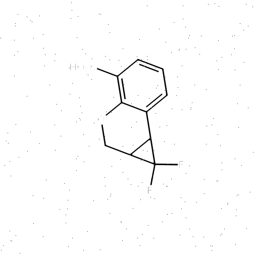 O=C(O)c1cccc2c1OCC1C2C1(F)F